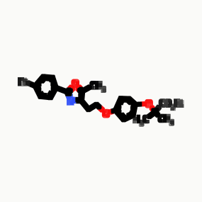 CCOC(=O)C(C)(C)Oc1ccc(OCCc2nc(-c3ccc(CC)cc3)oc2C)cc1